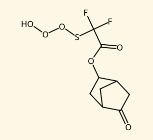 O=C1CC2CC1CC2OC(=O)C(F)(F)SOOO